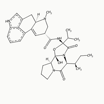 CC[C@@H](C)[C@H]1C(=O)N2CCC[C@H]2[C@]2(O)O[C@](NC(=O)[C@@H]3C=C4c5cccc6[nH]cc(c56)C[C@H]4N(C)C3)(C(C)C)C(=O)N12